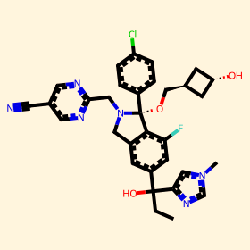 CCC(O)(c1cc(F)c2c(c1)CN(Cc1ncc(C#N)cn1)[C@@]2(OC[C@H]1C[C@H](O)C1)c1ccc(Cl)cc1)c1cn(C)cn1